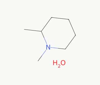 CC1CCCCN1C.O